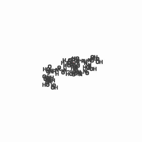 CC(C)(C)S(F)(c1ccc(C(=O)NC[C@H](C(=O)N[C@@H](CCCCNC(=O)CCC(=O)NCCC[C@H](NC(=O)CC[C@H](NC(=O)N[C@@H](CCC(=O)O)C(=O)O)C(=O)O)C(=O)O)C(=O)O)n2cc(CNC(=O)CCP(=O)(O)CN3CCN(CPCCC(=O)O)CCN(CP(=O)(O)CCC(=O)O)CC3)nn2)cc1)C(C)(C)C